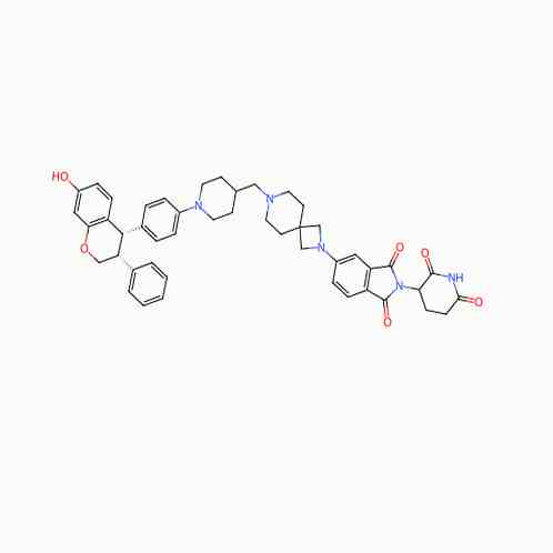 O=C1CCC(N2C(=O)c3ccc(N4CC5(CCN(CC6CCN(c7ccc([C@H]8c9ccc(O)cc9OC[C@H]8c8ccccc8)cc7)CC6)CC5)C4)cc3C2=O)C(=O)N1